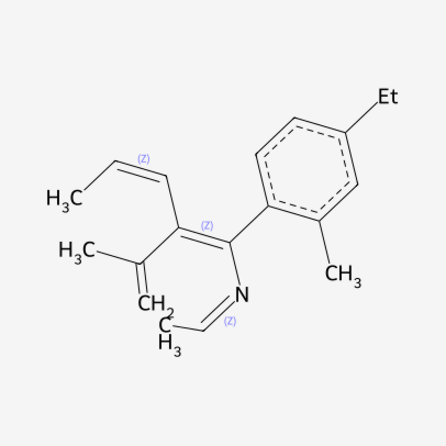 C=C(C)C(/C=C\C)=C(\N=C/C)c1ccc(CC)cc1C